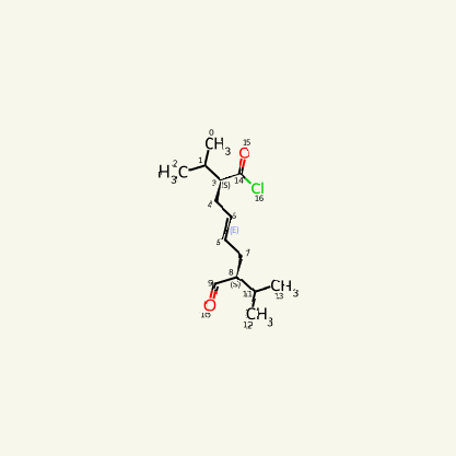 CC(C)[C@H](C/C=C/C[C@H](C=O)C(C)C)C(=O)Cl